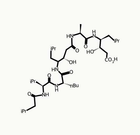 CCCC[C@H](NC(=O)[C@@H](NC(=O)CC(C)C)C(C)C)C(=O)NC(CC(C)C)[C@@H](O)CC(=O)N[C@@H](C)C(=O)N[C@@H](CC(C)C)[C@@H](O)CC(=O)O